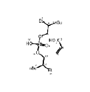 C=CC(=O)O.CCCCC(CC)COP(=O)(O)OCC(CC)CCCC